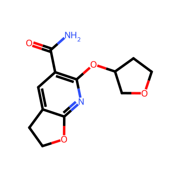 NC(=O)c1cc2c(nc1OC1CCOC1)OCC2